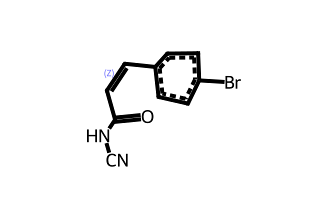 N#CNC(=O)/C=C\c1ccc(Br)cc1